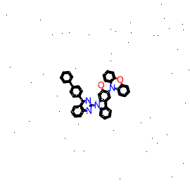 c1ccc(-c2ccc(-c3nc(-n4c5ccccc5c5cc6c(cc54)Oc4cccc5c4N6c4ccccc4O5)nc4ccccc34)cc2)cc1